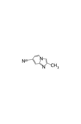 Cc1cn2ccc(C#N)cc2n1